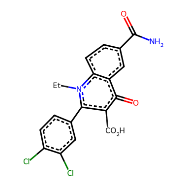 CCn1c(-c2ccc(Cl)c(Cl)c2)c(C(=O)O)c(=O)c2cc(C(N)=O)ccc21